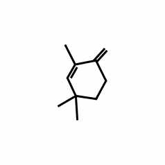 C=C1CCC(C)(C)C=C1C